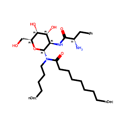 CCCCCCCCCCCCCCCCCC(=O)N(CCCCCCCCCCCCCC)[C@@H]1O[C@H](CO)[C@H](O)[C@H](O)[C@H]1NC(=O)[C@@H](N)CC(C)C